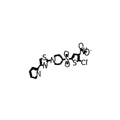 O=[N+]([O-])c1cc(S(=O)(=O)C2CCN(c3nc(-c4ccccn4)cs3)CC2)sc1Cl